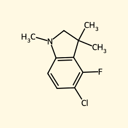 CN1CC(C)(C)c2c1ccc(Cl)c2F